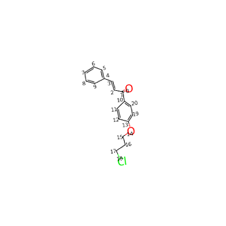 O=C(/C=C/c1ccccc1)c1ccc(OCCCCl)cc1